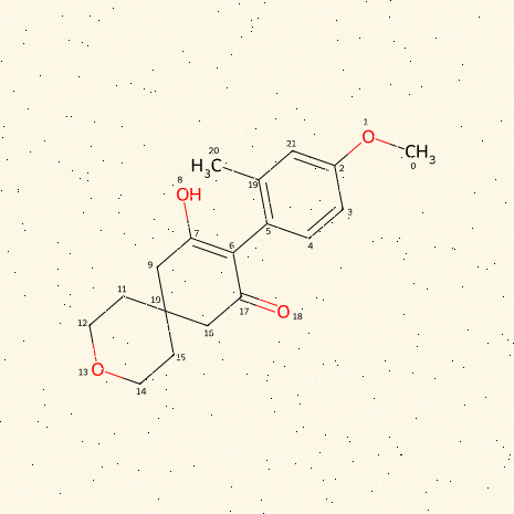 COc1ccc(C2=C(O)CC3(CCOCC3)CC2=O)c(C)c1